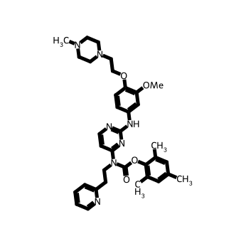 COc1cc(Nc2nccc(N(CCc3ccccn3)C(=O)Oc3c(C)cc(C)cc3C)n2)ccc1OCCN1CCN(C)CC1